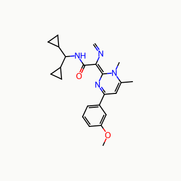 C=N/C(C(=O)NC(C1CC1)C1CC1)=C1/N=C(c2cccc(OC)c2)C=C(C)N1C